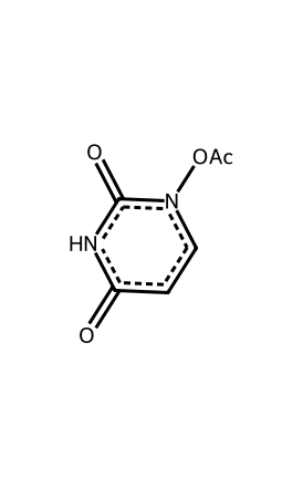 CC(=O)On1ccc(=O)[nH]c1=O